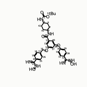 CC(C)(C)OC(=O)NC1CCC(NC(=O)c2cc(OCc3ccc(C(=N)NO)cc3)cc(Oc3ccc(C(=N)NO)cc3)c2)CC1